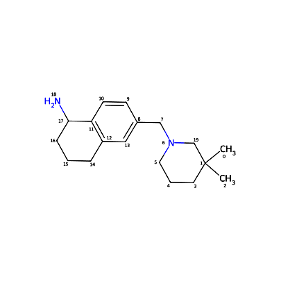 CC1(C)CCCN(Cc2ccc3c(c2)CCCC3N)C1